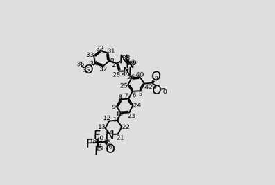 COC(=O)c1cc(-c2ccc(C3CCN(C(=O)C(F)(F)F)CC3)cc2)cc(-n2cc(-c3cccc(OC)c3)nn2)c1